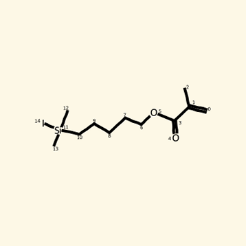 C=C(C)C(=O)OCCCCC[Si](C)(C)I